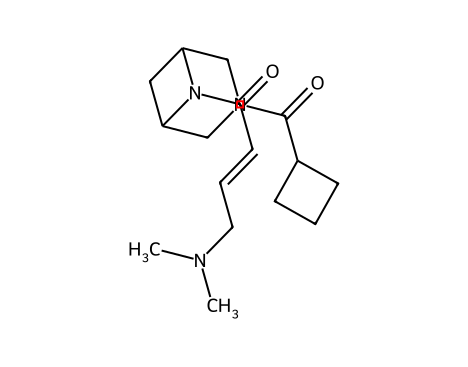 CN(C)C/C=C/C(=O)N1C2CC1CN(C(=O)C1CCC1)C2